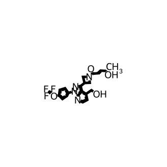 CC(O)C=CC(=O)N1CC(c2nn(-c3ccc(OC(F)(F)F)cc3)c3nccc(CO)c23)C1